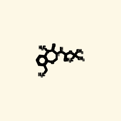 CCc1cccc2c1OC[C@H](NC(=O)OC(C)(C)C)C(=O)N2C